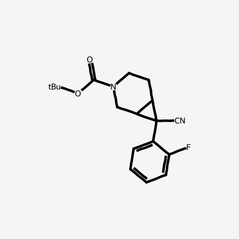 CC(C)(C)OC(=O)N1CCC2C(C1)C2(C#N)c1ccccc1F